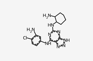 Nc1cc(Nc2nc(NC3CCCCC3N)nc3[nH]nnc23)ccc1Cl